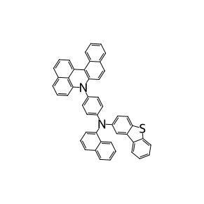 c1ccc2c(N(c3ccc(N4c5ccc6ccccc6c5-c5cccc6cccc4c56)cc3)c3ccc4sc5ccccc5c4c3)cccc2c1